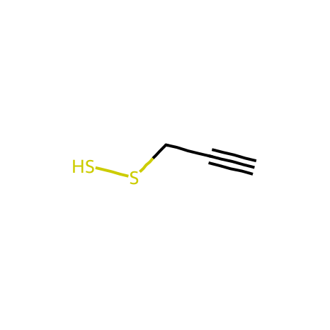 C#CCSS